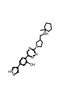 CC1(NCC2CCN(c3ncc(-c4ccc(-c5cn[nH]c5)cc4O)nn3)C2)CCCCC1